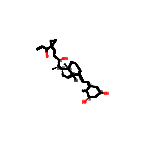 C=C1/C(=C\C=C2/CCC[C@]3(C)[C@@H]([C@H](C)[C@@H](O)CCC4(C(=O)CC)CC4)CC[C@@H]23)C[C@@H](O)C[C@@H]1O